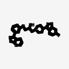 OC(COc1cccc(-c2noc3ncccc23)c1)CN1CCC(c2noc3cc(F)ccc23)CC1